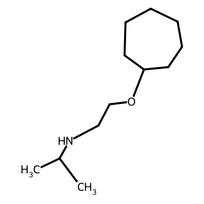 CC(C)NCCOC1CCCCCC1